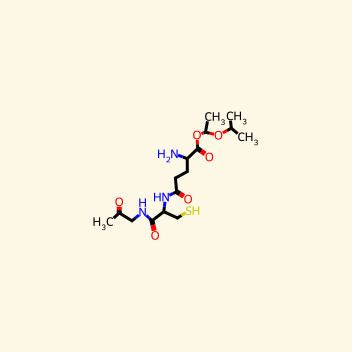 CC(=O)CNC(=O)C(CS)NC(=O)CCC(N)C(=O)OC(C)OC(C)C